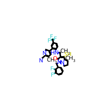 C=C(Nc1ccc(C(F)(F)F)cc1-c1cnc(C#N)c(C)c1)C1=C(S)C2(C)CCCN2N(CC2C=CC=CC(F)=C2F)C1=O